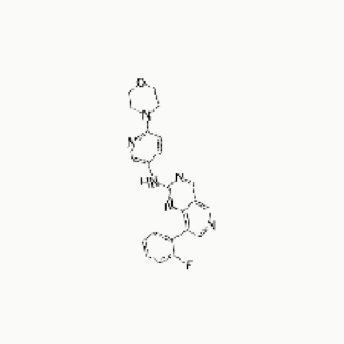 Fc1ccccc1-c1cncc2cnc(Nc3ccc(N4CCOCC4)nc3)nc12